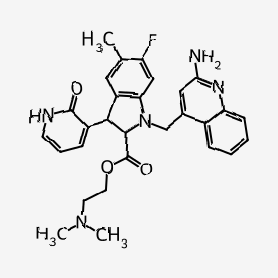 Cc1cc2c(cc1F)N(Cc1cc(N)nc3ccccc13)C(C(=O)OCCN(C)C)C2c1ccc[nH]c1=O